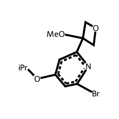 COC1(c2cc(OC(C)C)cc(Br)n2)COC1